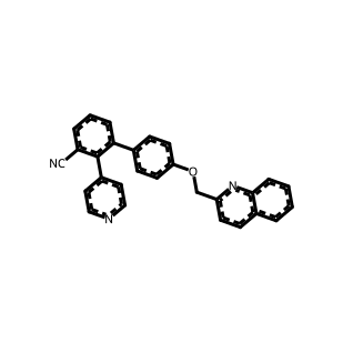 N#Cc1cccc(-c2ccc(OCc3ccc4ccccc4n3)cc2)c1-c1ccncc1